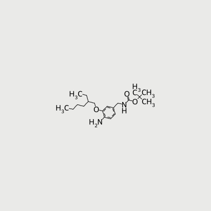 CCCCC(CC)COc1cc(CNC(=O)OC(C)(C)C)ccc1N